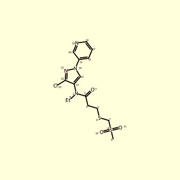 CCN(C(=O)CCSCS(C)(=O)=O)c1cn(-c2cccnc2)nc1Cl